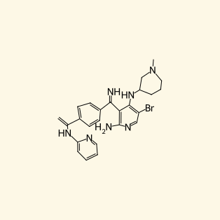 C=C(Nc1ccccn1)c1ccc(C(=N)c2c(N)ncc(Br)c2NC2CCCN(C)C2)cc1